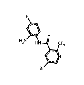 Nc1cc(F)ccc1NC(=O)c1cc(Br)cnc1C(F)(F)F